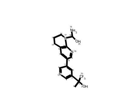 CC(O)(c1cncc(-c2cnc3c(c2)CCCN3C(N)O)c1)C(F)(F)F